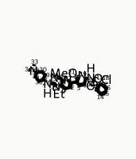 CCc1cc(-c2ccc(NS(=O)(=O)c3ccccc3Cl)nc2OC)nc2cnc(N[C@H]3CC[C@H](N(C)C)CC3)nc12